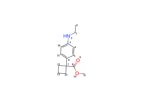 CCNc1ccc(C2(C(=O)OC)CCC2)cc1